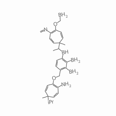 BCOC1=C(N=C)C=CC(C)(C(C)Bc2ccc(COC3=C(N)C=CC(C)(C(C)C)C=C3)c(B)c2B)C=C1